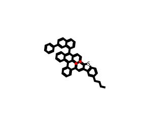 CCCCc1ccc2sc3ccc(-c4ccccc4-c4c5ccccc5c(-c5cccc6ccc(-c7ccccc7)cc56)c5ccccc45)cc3c2c1